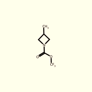 CC1CN(C(=O)OC(F)(F)F)C1